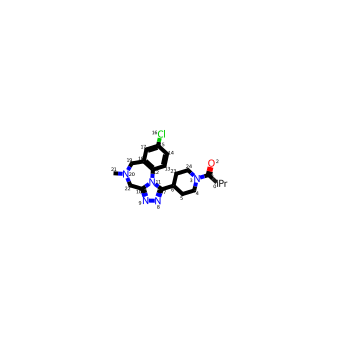 CC(C)C(=O)N1CCC(c2nnc3n2-c2ccc(Cl)cc2CN(C)C3)CC1